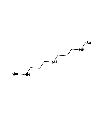 CCCCNCCCNCCCNCCCC